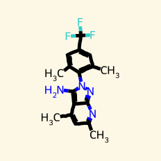 Cc1cc(C)c2c(N)n(-c3c(C)cc(C(F)(F)F)cc3C)nc2n1